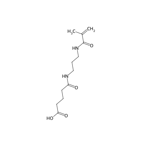 C=C(C)C(=O)NCCCNC(=O)CCCC(=O)O